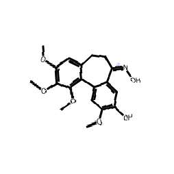 COc1cc2c(cc1O)/C(=N\O)CCc1cc(OC)c(OC)c(OC)c1-2